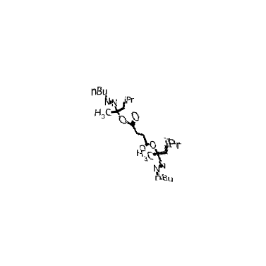 CCCC/N=N/C(C)(CC(C)C)OC(=O)CCC(=O)OC(C)(CC(C)C)/N=N/CCCC